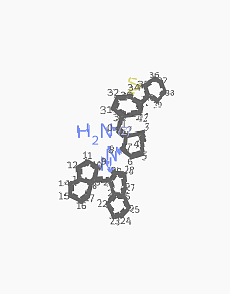 N/C(=C1/C=CC=CC1=Nn1c2ccc3ccccc3c2c2c3ccccc3ccc21)c1ccc2sc3ccccc3c2c1